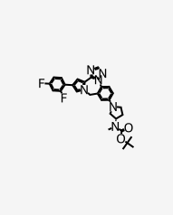 CN(C(=O)OC(C)(C)C)[C@H]1CCN(c2ccc3c(c2)Cn2cc(-c4ccc(F)cc4F)cc2-c2ncnn2-3)C1